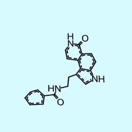 O=C(NCCc1c[nH]c2ccc3c(=O)[nH]ccc3c12)c1ccccc1